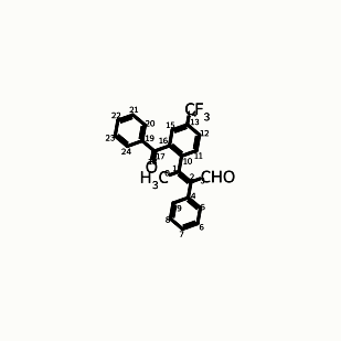 C/C(=C(/C=O)c1ccccc1)c1ccc(C(F)(F)F)cc1C(=O)c1ccccc1